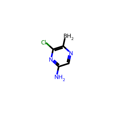 Bc1ncc(N)nc1Cl